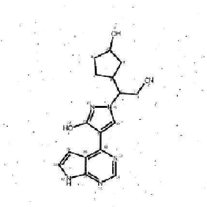 N#CCC(C1CCC(O)C1)n1cc(-c2ncnc3[nH]ccc23)c(O)n1